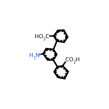 Nc1cc(-c2ccccc2C(=O)O)cc(-c2ccccc2C(=O)O)c1